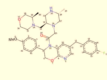 COc1ccc(C2COc3ncc(Cc4ccc(F)cc4)cc3N2C(=O)CN2C[C@@H](C)NC[C@@H]2CN2CCOC[C@H]2C)cc1